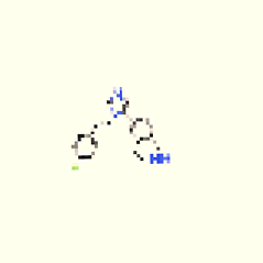 Fc1ccc(CCn2cncc2-c2ccc3c(c2)CCNC3)cc1